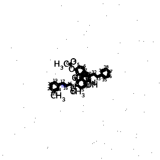 CC(=O)Oc1ccc2c3c1OC1C(N(C)C/C=C/c4cccc(C)c4)CC[C@@]4(O)[C@@H](C2)N(CCc2ccccc2)CC[C@]314